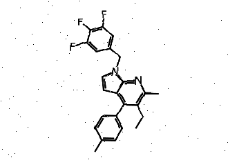 CCc1c(C)nc2c(ccn2Cc2cc(F)c(F)c(F)c2)c1-c1ccc(C)cc1